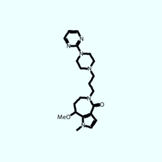 COC1CCN(CCCN2CCN(c3ncccn3)CC2)C(=O)c2ccn(C)c21